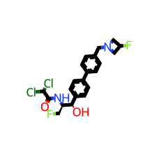 O=C(N[C@H](CF)[C@@H](O)c1ccc(-c2ccc(CN3CC(F)C3)cc2)cc1)C(Cl)Cl